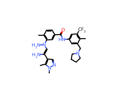 Cc1ccc(C(=O)Nc2cc(CN3CCCC3)c(C)c(C(F)(F)F)c2)cc1N(N)/C=C(\N)c1cnn(C)c1C